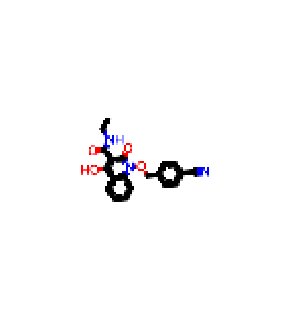 CCNC(=O)c1c(O)c2ccccc2n(OCc2ccc(C#N)cc2)c1=O